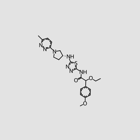 CCOC(C(=O)Nc1nnc(N[C@@H]2CCN(c3ccc(C)nn3)C2)s1)c1ccc(OC)cc1